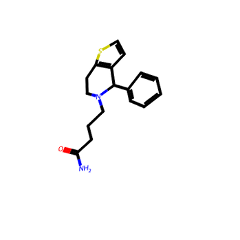 NC(=O)CCCN1CCc2sccc2C1c1ccccc1